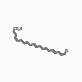 CC/C=C\C/C=C/C/C=C/C/C=C/C/C=C/C/C=C\CCC(=O)O